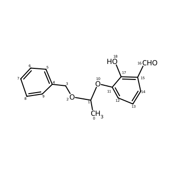 CC(OCc1ccccc1)Oc1cccc(C=O)c1O